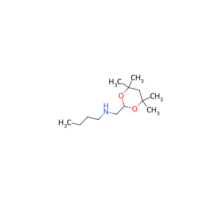 CCCCNCC1OC(C)(C)CC(C)(C)O1